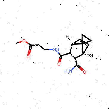 COC(=O)CCNC(=O)C1C(C(N)=O)[C@@H]2C=C[C@H]1C21CC1